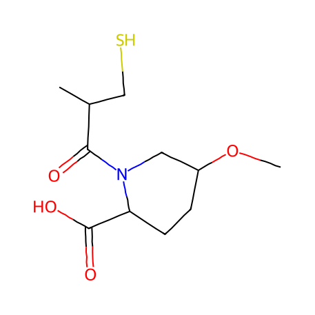 COC1CCC(C(=O)O)N(C(=O)C(C)CS)C1